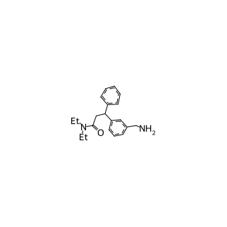 CCN(CC)C(=O)CC(c1ccccc1)c1cccc(CN)c1